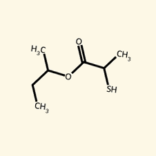 CCC(C)OC(=O)C(C)S